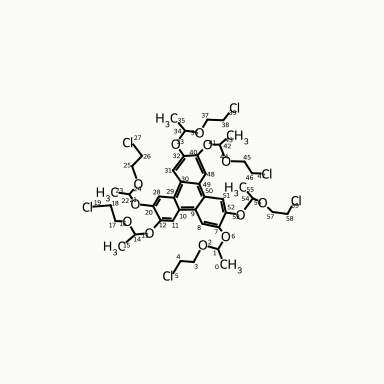 CC(OCCCl)Oc1cc2c3cc(OC(C)OCCCl)c(OC(C)OCCCl)cc3c3cc(OC(C)OCCCl)c(OC(C)OCCCl)cc3c2cc1OC(C)OCCCl